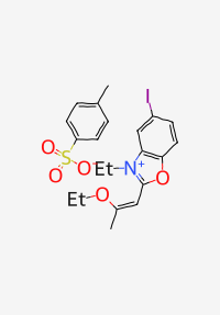 CCOC(C)=Cc1oc2ccc(I)cc2[n+]1CC.Cc1ccc(S(=O)(=O)[O-])cc1